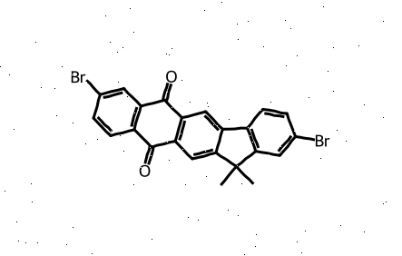 CC1(C)c2cc(Br)ccc2-c2cc3c(cc21)C(=O)c1ccc(Br)cc1C3=O